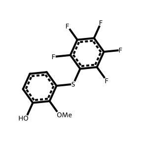 COc1c(O)cccc1Sc1c(F)c(F)c(F)c(F)c1F